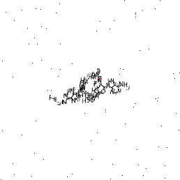 Nc1ncnc2c1ncn2[C@@H]1O[C@@H]2O[P@@](=O)(S)O[C@@H]3[C@H](F)[C@@H](CO[PH](=O)O[C@@H]1[C@@H]2F)O[C@H]3n1cnc2c(N)ncnc21